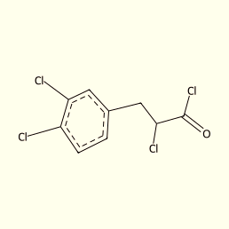 O=C(Cl)C(Cl)Cc1ccc(Cl)c(Cl)c1